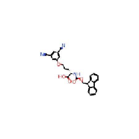 N#Cc1cc(C#N)cc(OCCC[C@H](NC(=O)OCC2c3ccccc3-c3ccccc32)C(=O)O)c1